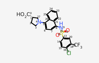 O=C(O)[C@H]1CCN(c2ccc(NS(=O)(=O)c3ccc(Cl)c(C(F)(F)F)c3)c3ccccc23)C1